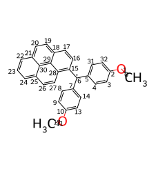 COc1ccc([C](c2ccc(OC)cc2)c2ccc3ccc4cccc5ccc2c3c45)cc1